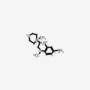 CN(CC[N+]1(C)CCOCC1)c1ccc(N)cc1N